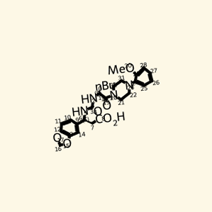 CCCC[C@H](NC(=O)N[C@@H](CC(=O)O)c1ccc2c(c1)OCO2)C(=O)N1CCN(c2ccccc2OC)CC1